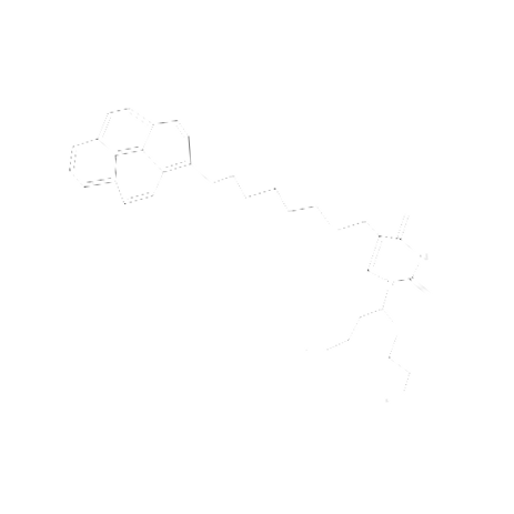 CC(=O)OCCOC(CCOC(C)=O)n1cc(COCCCCCCc2ccc3ccc4cccc5ccc2c3c45)c(=O)[nH]c1=O